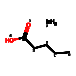 CCCCC(=O)O.[InH3]